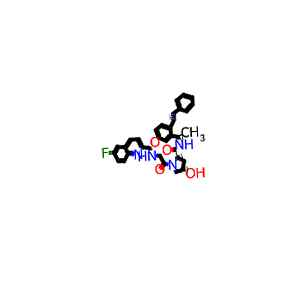 C[C@H](NC(=O)[C@@H]1C[C@@H](O)CN1C(=O)CNC(=O)c1ccc2cc(F)ccc2n1)c1ccccc1/C=C/c1ccccc1